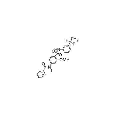 COc1cc(N(I)C(=O)C2CC3C=CC2O3)ccc1S(=O)(=O)Nc1cccc(C(C)(F)F)c1